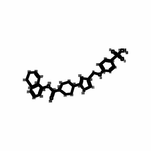 CS(=O)(=O)c1ccc(OCc2csc(C3CCN(C(=O)Oc4cccc5c4C=CCC5)CC3)n2)cc1